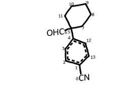 N#Cc1ccc(C2(C=O)CCCCC2)cc1